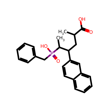 CC(CC(c1ccc2ccccc2c1)C(C)P(=O)(O)Cc1ccccc1)C(=O)O